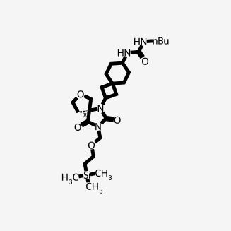 CCCCNC(=O)NC1CCC2(CC1)CC(N1C(=O)N(COCC[Si](C)(C)C)C(=O)[C@]13CCOC3)C2